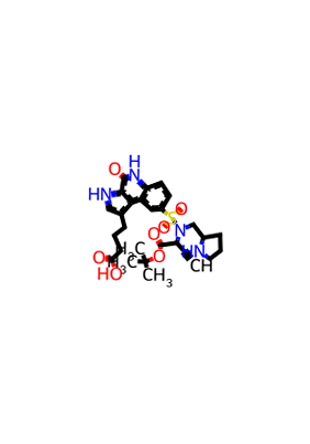 C#CC(C(=O)OC(C)(C)C)N(CC1CCCN1)S(=O)(=O)c1ccc2[nH]c(=O)c3[nH]cc(CCCC(=O)O)c3c2c1